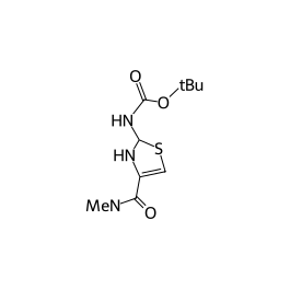 CNC(=O)C1=CSC(NC(=O)OC(C)(C)C)N1